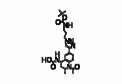 CC(=O)N1c2ccc(-c3cn(CCCNC(=O)OC(C)(C)C)nn3)cc2[C@H](NC(=O)O)C[C@@H]1C